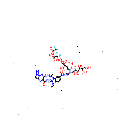 CCn1c(CNC(=O)c2nc3cc[nH]c3nc2N)[n+](CC)c2ccc(C(=O)NCCN(CC(O)C(O)C(O)C(O)CO)CC(O)C(O)C(O)C(O)CO)cc21.O=C(O)C(F)(F)F.O=C([O-])C(F)(F)F